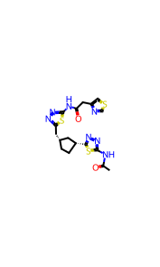 CC(=O)Nc1nnc([C@@H]2CC[C@H](Cc3nnc(NC(=O)Cc4cscn4)s3)C2)s1